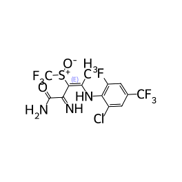 C/C(Nc1c(F)cc(C(F)(F)F)cc1Cl)=C(/C(=N)C(N)=O)[S+]([O-])C(F)(F)F